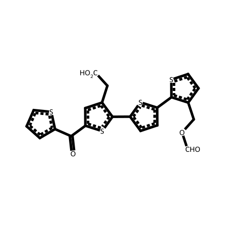 O=COCc1ccsc1-c1ccc(-c2sc(C(=O)c3cccs3)cc2CC(=O)O)s1